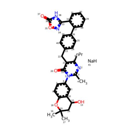 CCCc1nc(C)n(-c2ccc3c(c2)C(O)CC(C)(C)O3)c(=O)c1Cc1ccc(-c2ccccc2-c2noc(=O)[nH]2)cc1.[NaH]